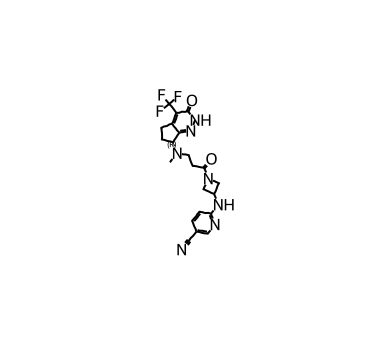 CN(CCC(=O)N1CC(Nc2ccc(C#N)cn2)C1)[C@@H]1CCc2c1n[nH]c(=O)c2C(F)(F)F